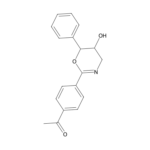 CC(=O)c1ccc(C2=NCC(O)C(c3ccccc3)O2)cc1